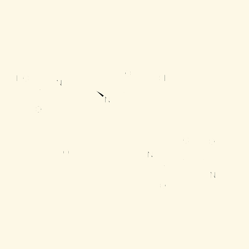 COCCCCN1C(=O)C(C)(C(=O)N(C)C)Oc2cc(Cl)c(C(=O)N(C(C)C)[C@@H]3CCCN(C(=O)O)C3)cc21